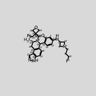 COc1cc(NC2CN(CCCF)C2)ccc1C1c2ccc3[nH]ncc3c2C[C@@H](C)N1CC1(CF)COC1